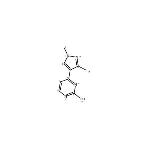 Cn1cc(-c2ccnc(O)n2)c(I)n1